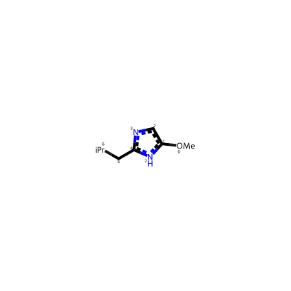 COc1cnc(CC(C)C)[nH]1